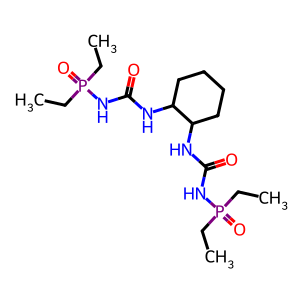 CCP(=O)(CC)NC(=O)NC1CCCCC1NC(=O)NP(=O)(CC)CC